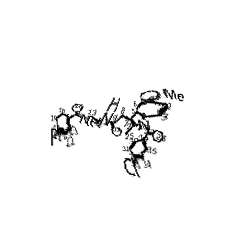 COc1ccc2c(c1)c(CC(=O)NCCNC(=O)c1ccc(F)cc1)c(C)n2C(=O)c1ccc(Cl)cc1